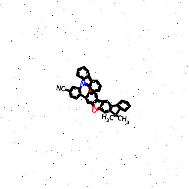 CC1(C)c2ccccc2-c2cc3c(cc21)oc1cc(-c2ccc(C#N)cc2-n2c4ccccc4c4ccccc42)ccc13